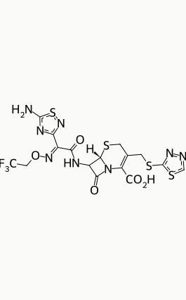 Nc1nc(C(=NOCC(F)(F)F)C(=O)NC2C(=O)N3C(C(=O)O)=C(CSc4nncs4)CS[C@@H]23)ns1